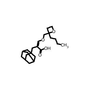 CCCCC1(COC=C(CC23CC4CC(CC(C4)C2)C3)C(=O)O)CCO1